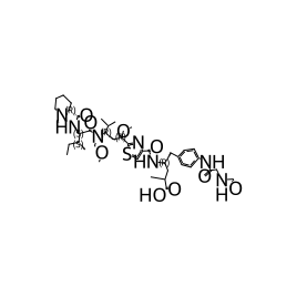 CC[C@H](C)[C@H](NC(=O)[C@H]1CCCCN1C)C(=O)N(COC)[C@H](C[C@@H](OC)c1nc(C(=O)N[C@@H](Cc2ccc(NC(=O)CNC=O)cc2)CC(C)C(=O)O)cs1)C(C)C